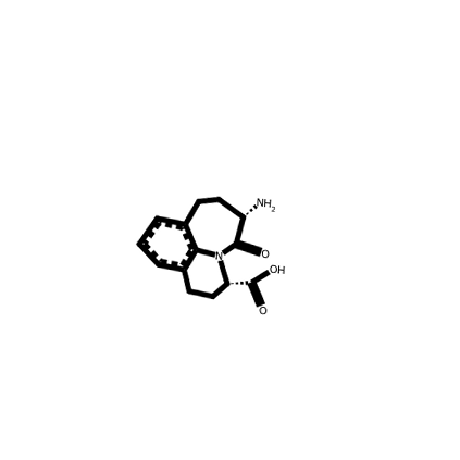 N[C@H]1CCc2cccc3c2N(C1=O)[C@H](C(=O)O)CC3